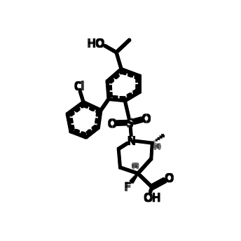 CC(O)c1ccc(S(=O)(=O)N2CC[C@@](F)(C(=O)O)C[C@H]2C)c(-c2ccccc2Cl)c1